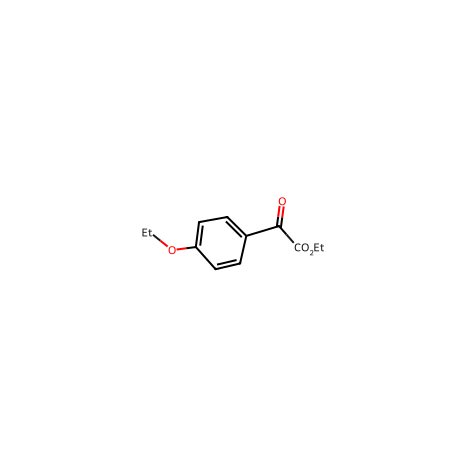 CCOC(=O)C(=O)c1ccc(OCC)cc1